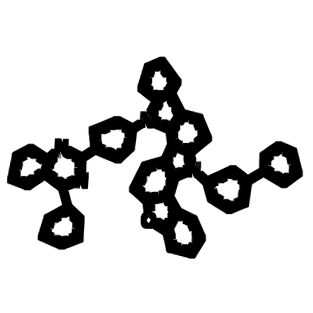 c1ccc(-c2cccc(-n3c4ccc5c6ccccc6n(-c6ccc(-c7nc(-c8ccccc8)c8ccccc8n7)cc6)c5c4c4ccc5oc6ccccc6c5c43)c2)cc1